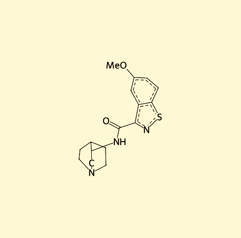 COc1ccc2snc(C(=O)NC3CN4CCC3CC4)c2c1